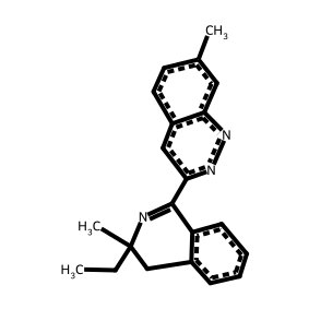 CCC1(C)Cc2ccccc2C(c2cc3ccc(C)cc3nn2)=N1